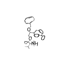 CNC(C(=O)OCC(OCc1ccccc1)C1COC(=O)O1)C(C)C